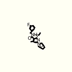 CCSc1nc(N2CC3CCC(C2)O3)cc(C)c1C(=O)NCc1cccc(F)c1